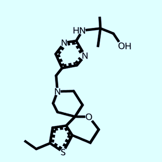 CCc1cc2c(s1)CCOC21CCN(Cc2cnc(NC(C)(C)CO)nc2)CC1